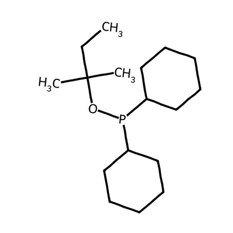 CCC(C)(C)OP(C1CCCCC1)C1CCCCC1